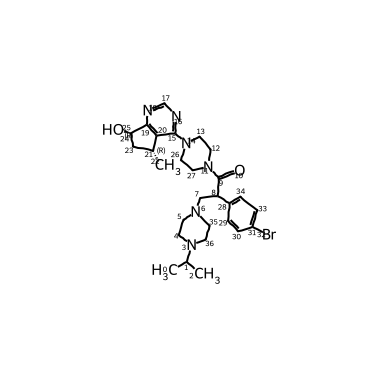 CC(C)N1CCN(CC(C(=O)N2CCN(c3ncnc4c3[C@H](C)C[C@H]4O)CC2)c2ccc(Br)cc2)CC1